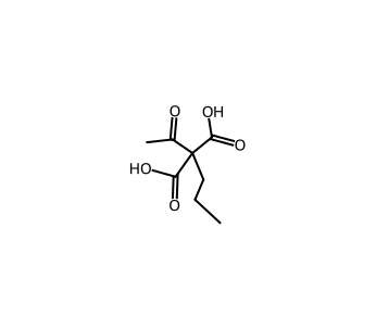 CCCC(C(C)=O)(C(=O)O)C(=O)O